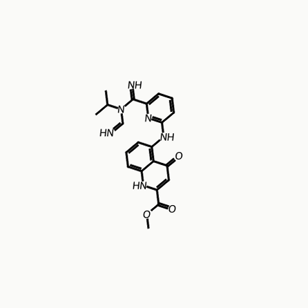 COC(=O)c1cc(=O)c2c(Nc3cccc(C(=N)N(C=N)C(C)C)n3)cccc2[nH]1